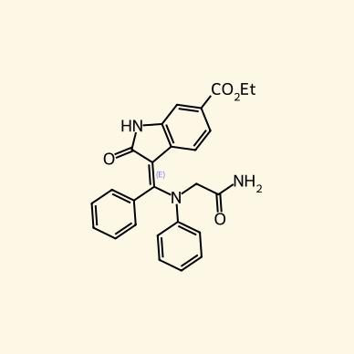 CCOC(=O)c1ccc2c(c1)NC(=O)/C2=C(\c1ccccc1)N(CC(N)=O)c1ccccc1